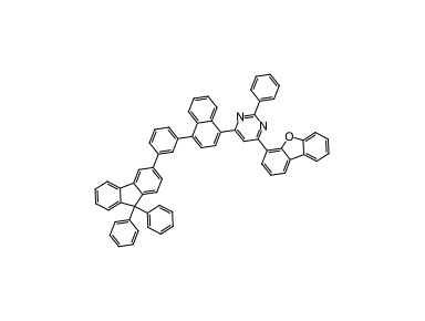 c1ccc(-c2nc(-c3ccc(-c4cccc(-c5ccc6c(c5)-c5ccccc5C6(c5ccccc5)c5ccccc5)c4)c4ccccc34)cc(-c3cccc4c3oc3ccccc34)n2)cc1